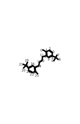 Cc1ccc(C(C)(C)C)cc1CCCCc1cc(C(C)(C)C)ccc1C